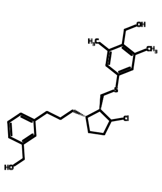 Cc1cc(SC[C@H]2C(Cl)CC[C@@H]2CCCc2cccc(CO)c2)cc(C)c1CO